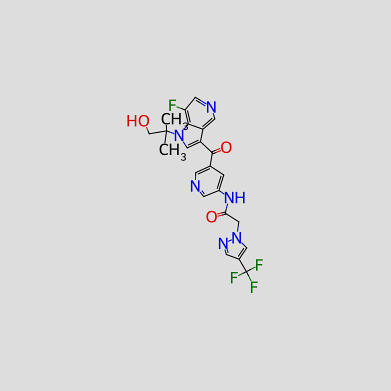 CC(C)(CO)n1cc(C(=O)c2cncc(NC(=O)Cn3cc(C(F)(F)F)cn3)c2)c2cncc(F)c21